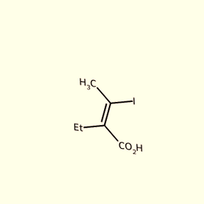 CC/C(C(=O)O)=C(\C)I